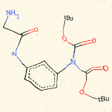 CC(C)(C)OC(=O)N(C(=O)OC(C)(C)C)c1cccc([N]C(=O)CN)c1